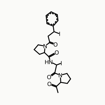 CC(=O)C1CCCN1C(=O)C(I)NC(=O)C1CCCN1C(=O)CC(I)c1ccccc1